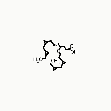 CCC1CC1CC1CC1CCOC(CCC(=O)O)OCCC1CC1CC1CC1CC